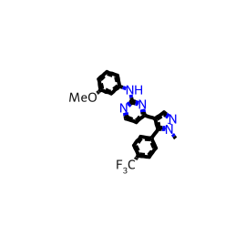 COc1cccc(Nc2nccc(-c3cnn(C)c3-c3ccc(C(F)(F)F)cc3)n2)c1